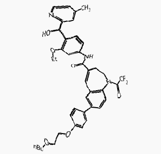 CCCCOCCOc1ccc(-c2ccc3c(c2)C=C(C(=O)Nc2ccc(C(O)c4cc(C)ccn4)c(OCC)c2)CCN3C(=O)C(F)(F)F)cc1